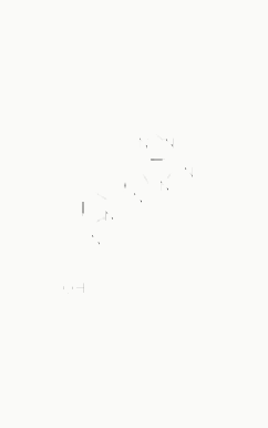 CNc1nc2[nH]c(-c3cccc(NCCCO)n3)cc2c2c1ncn2C